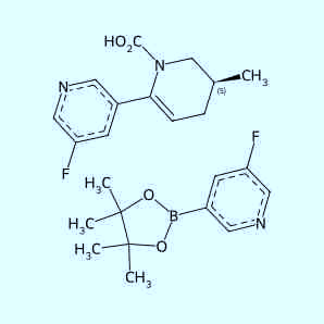 CC1(C)OB(c2cncc(F)c2)OC1(C)C.C[C@H]1CC=C(c2cncc(F)c2)N(C(=O)O)C1